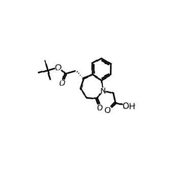 CC(C)(C)OC(=O)C[C@H]1CCC(=O)N(CC(=O)O)c2ccccc21